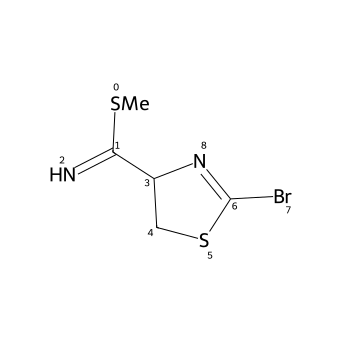 CSC(=N)C1CSC(Br)=N1